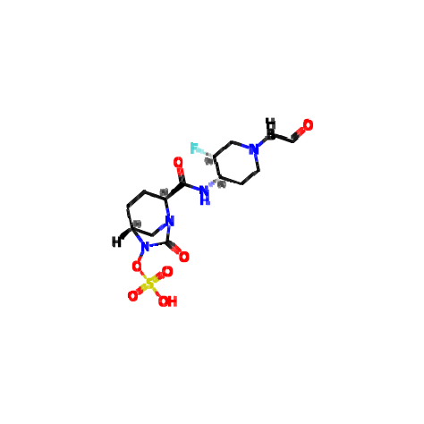 O=CBN1CC[C@H](NC(=O)[C@@H]2CC[C@@H]3CN2C(=O)N3OS(=O)(=O)O)[C@H](F)C1